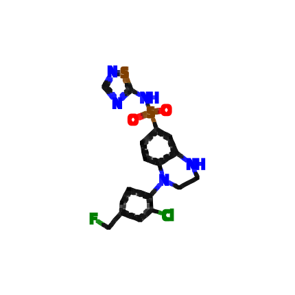 O=S(=O)(Nc1ncns1)c1ccc2c(c1)NCCN2c1ccc(CF)cc1Cl